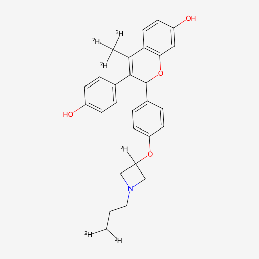 [2H]C([2H])CCN1CC([2H])(Oc2ccc(C3Oc4cc(O)ccc4C(C([2H])([2H])[2H])=C3c3ccc(O)cc3)cc2)C1